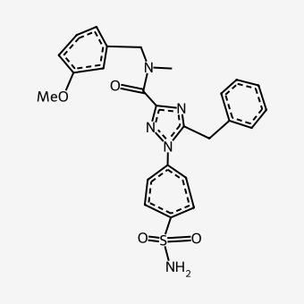 COc1cccc(CN(C)C(=O)c2nc(Cc3ccccc3)n(-c3ccc(S(N)(=O)=O)cc3)n2)c1